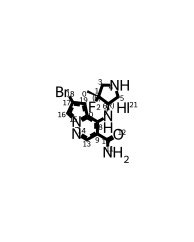 C[C@@]1(F)CNC[C@H]1Nc1c(C(N)=O)cnn2cc(Br)cc12.I